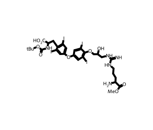 COC(=O)C(N)CCCNC(=N)NCC(O)COc1c(I)cc(Oc2cc(I)c(CC(NC(=O)OC(C)(C)C)C(=O)O)c(I)c2)cc1I